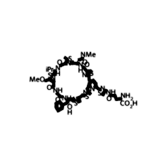 CNC(=O)C[C@@H]1NC(=O)c2csc(n2)-c2ccc(-c3nc(NC(=O)CC[C@H](N)C(=O)O)cs3)nc2-c2csc(n2)-c2csc(n2)[C@H]([C@@H](O)c2ccccc2)NC(=O)CNC(=O)c2nc(sc2COC)[C@H](C(C)C)NC(=O)c2nc1sc2C